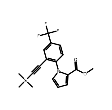 COC(=O)c1cccn1-c1ccc(C(F)(F)F)cc1C#C[Si](C)(C)C